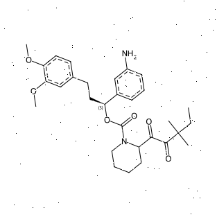 CCC(C)(C)C(=O)C(=O)C1CCCCN1C(=O)O[C@@H](CCc1ccc(OC)c(OC)c1)c1cccc(N)c1